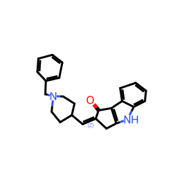 O=C1/C(=C\C2CCN(Cc3ccccc3)CC2)Cc2[nH]c3ccccc3c21